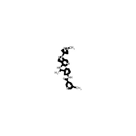 Cc1cncc(C(=O)Nc2cccc(C(C)Nc3cncc4c3cnn4-c3cnn(C)c3)c2)c1